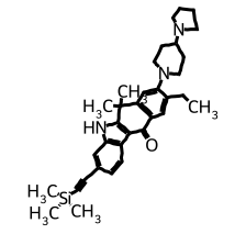 CCc1cc2c(cc1N1CCC(N3CCCC3)CC1)C(C)(C)c1[nH]c3cc(C#C[Si](C)(C)C)ccc3c1C2=O